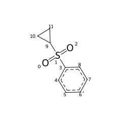 O=S(=O)(c1cc[c]cc1)C1CC1